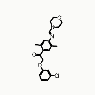 Cc1cc(C(=O)COc2cccc(Cl)c2)c(C)cc1N=CN1CCOCC1